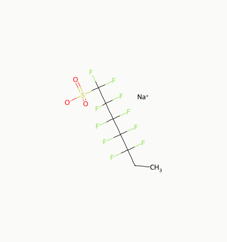 CCC(F)(F)C(F)(F)C(F)(F)C(F)(F)C(F)(F)S(=O)(=O)[O-].[Na+]